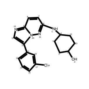 OC1CCC(Nc2ccc3ncc(-c4cccc(Cl)c4)n3n2)CC1